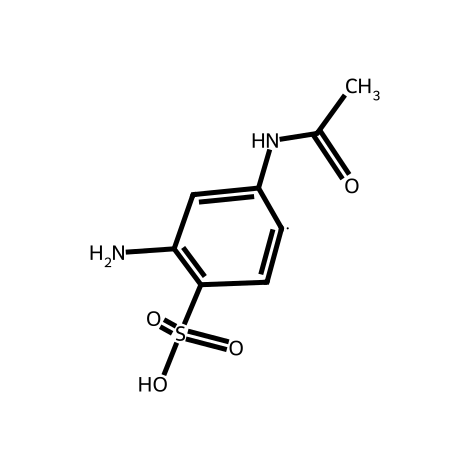 CC(=O)Nc1[c]cc(S(=O)(=O)O)c(N)c1